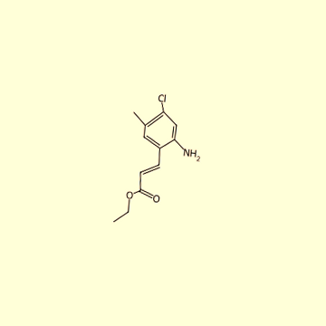 CCOC(=O)C=Cc1cc(C)c(Cl)cc1N